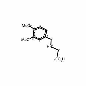 COc1ccc(CNCC(=O)O)cc1OC